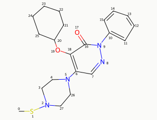 CSN1CCN(c2cnn(-c3ccccc3)c(=O)c2OC2CCCCC2)CC1